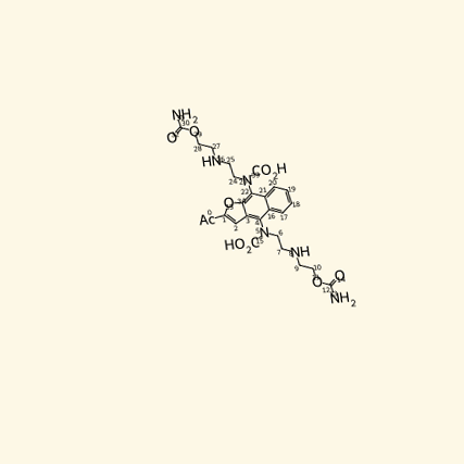 CC(=O)c1cc2c(N(CCNCCOC(N)=O)C(=O)O)c3ccccc3c(N(CCNCCOC(N)=O)C(=O)O)c2o1